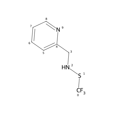 FC(F)(F)SNCc1ccccn1